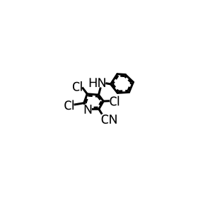 N#Cc1nc(Cl)c(Cl)c(Nc2ccccc2)c1Cl